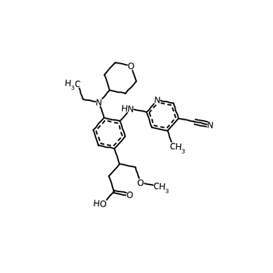 CCN(c1ccc(C(COC)CC(=O)O)cc1Nc1cc(C)c(C#N)cn1)C1CCOCC1